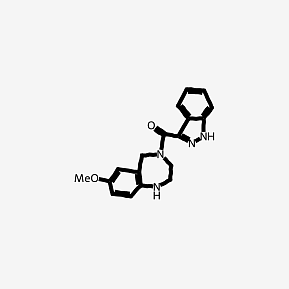 COc1ccc2c(c1)CN(C(=O)c1n[nH]c3ccccc13)CCN2